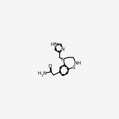 NC(=O)Cc1ccc2c(c1)N(Cc1c[nH]cn1)CCNS2